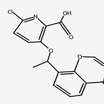 CC(Oc1ccc(Cl)nc1C(=O)O)c1cccc2c(=O)ccoc12